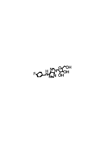 OCC1OC(n2cnc3c(NCc4ccc(F)cc4)ncnc32)C(O)C1O